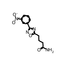 NC(=O)CCCc1nc(-c2cccc([N+](=O)[O-])c2)no1